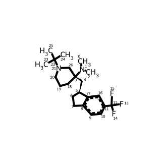 CN(C)[C@]1(C[C@@H]2CCc3ccc(C(F)(F)F)cc32)CCCN(C(C)(C)C)C1